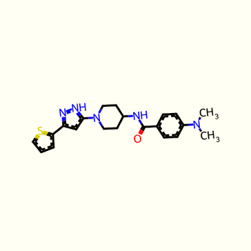 CN(C)c1ccc(C(=O)NC2CCN(c3cc(-c4cccs4)n[nH]3)CC2)cc1